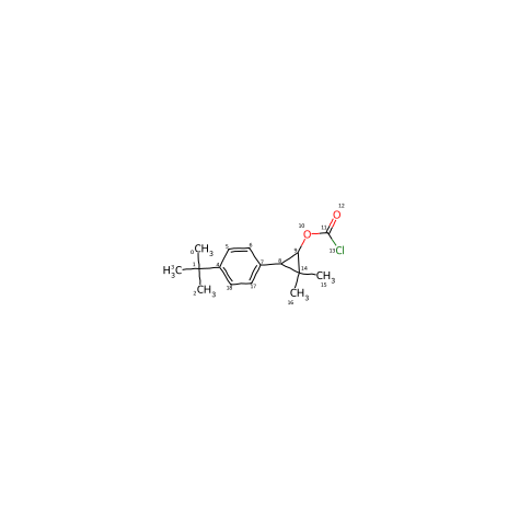 CC(C)(C)c1ccc(C2C(OC(=O)Cl)C2(C)C)cc1